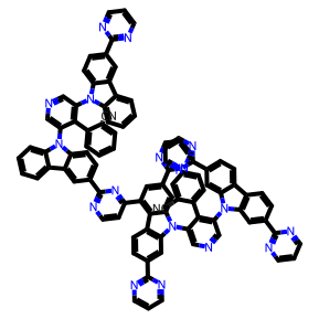 N#Cc1ccccc1-c1c(-n2c3ccccc3c3cc(-c4ncccn4)ccc32)cncc1-n1c2ccccc2c2cc(-c3nccc(-c4cc(-c5ncccn5)cc5c4c4ccc(-c6ncccn6)cc4n5-c4cncc(-n5c6cc(-c7ncccn7)ccc6c6ccc(-c7ncccn7)cc65)c4-c4ccccc4C#N)n3)ccc21